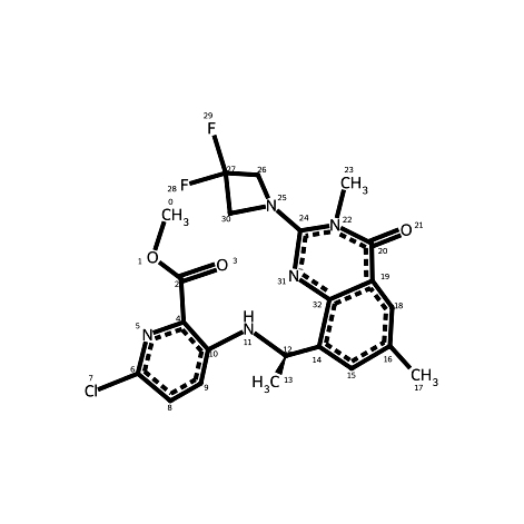 COC(=O)c1nc(Cl)ccc1N[C@H](C)c1cc(C)cc2c(=O)n(C)c(N3CC(F)(F)C3)nc12